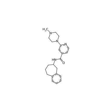 CN1CCN(c2cc(C(=O)NC3CCCc4ccccc4C3)ccn2)CC1